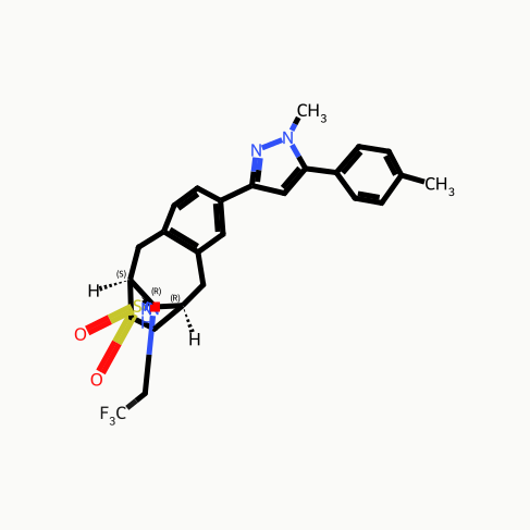 Cc1ccc(-c2cc(-c3ccc4c(c3)C[C@H]3CC[C@@H](C4)[C@]34CN(CC(F)(F)F)S(=O)(=O)N4)nn2C)cc1